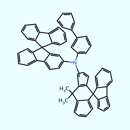 CC1(C)c2ccccc2C2(c3ccccc3-c3ccccc32)c2ccc(N(c3cccc(-c4ccccc4)c3)c3ccc4c(c3)C3(c5ccccc5-c5ccccc53)c3ccccc3-4)cc21